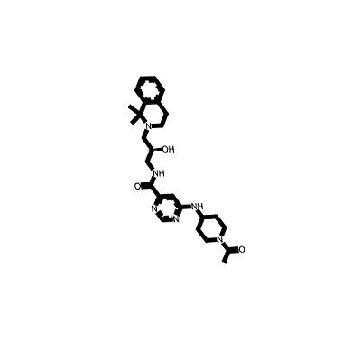 CC(=O)N1CCC(Nc2cc(C(=O)NC[C@H](O)CN3CCc4ccccc4C3(C)C)ncn2)CC1